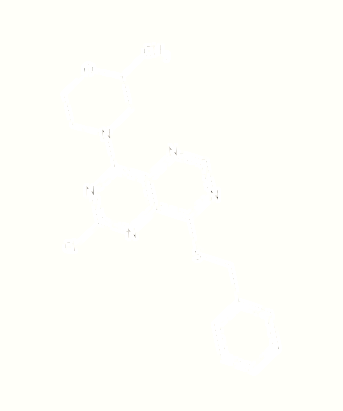 CC1CN(c2nc(Cl)nc3c(SCc4ccccc4)ncnc23)CCO1